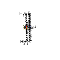 CCCCCCCCCCCCCCN(CCCCCCCCCCCCCC)C(=S)[S-].CCCCCCCCCCCCCCN(CCCCCCCCCCCCCC)C(=S)[S-].[Zn+2]